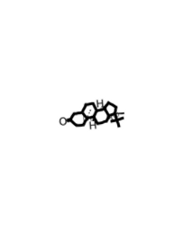 CC(C)(C)[C@@]1(C)CC[C@H]2C3CCC4CC(=O)CC[C@]4(C)[C@H]3CC[C@@]21C